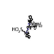 CCCCC[N+]1=C(/C=C/C2=C(N(C)CCNC(=O)OC(C)(C)C)C(=C/C=C3/N(CCCCS(=O)(=O)O)c4ccc5ccccc5c4C3(C)C)/CC2)C(C)(C)c2c1ccc1ccccc21